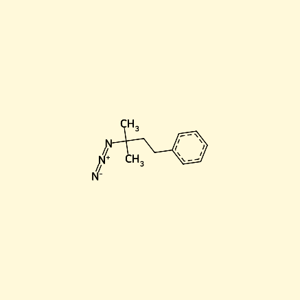 CC(C)(CCc1ccccc1)N=[N+]=[N-]